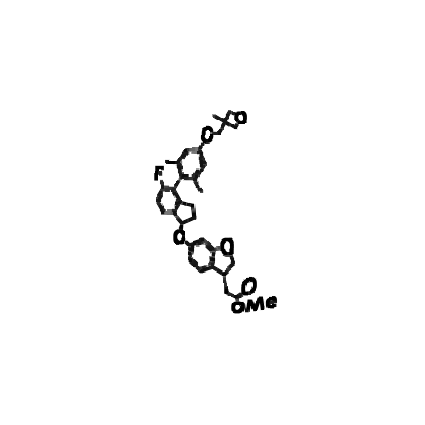 COC(=O)C[C@@H]1COc2cc(O[C@@H]3CCc4c3ccc(F)c4-c3c(C)cc(OCC4(C)COC4)cc3C)ccc21